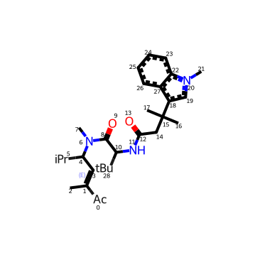 CC(=O)/C(C)=C/C(C(C)C)N(C)C(=O)C(NC(=O)CC(C)(C)c1cn(C)c2ccccc12)C(C)(C)C